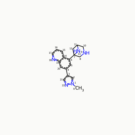 Cn1cc(-c2cc(C34CNCC(C3)N4)c3cccnc3c2)cn1